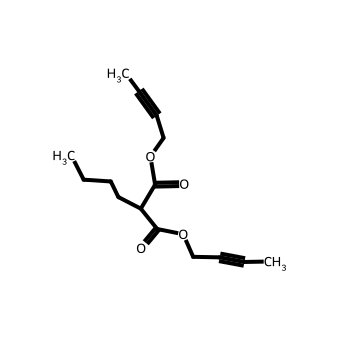 CC#CCOC(=O)C(CCCC)C(=O)OCC#CC